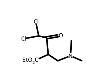 CCOC(=O)C(CN(C)C)C(=O)C(Cl)Cl